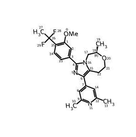 COc1cc(-c2nc(-c3cc(C)nc(C)c3)c3n2C[C@@H](C)OCC3)ccc1C(C)(F)F